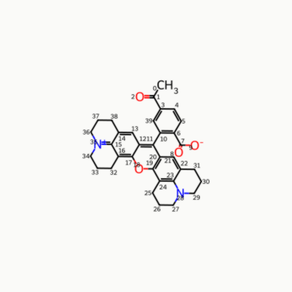 CC(=O)c1ccc(C(=O)[O-])c(C2=c3cc4c5c(c3Oc3c2cc2c6c3CCCN6CCC2)CCC[N+]=5CCC4)c1